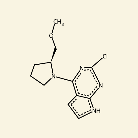 COC[C@@H]1CCCN1c1nc(Cl)nc2[nH]ccc12